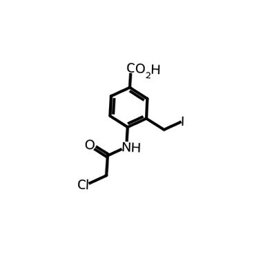 O=C(CCl)Nc1ccc(C(=O)O)cc1CI